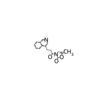 C[C@H]1CN(C(=O)CCc2cncc3ccccc23)C(=O)O1